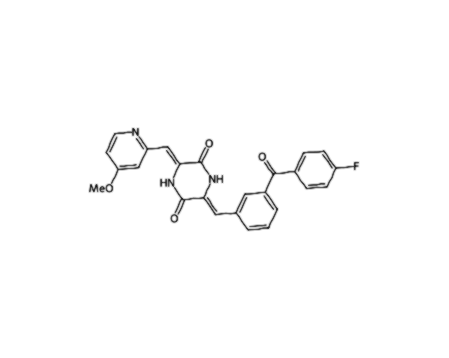 COc1ccnc(C=c2[nH]c(=O)c(=Cc3cccc(C(=O)c4ccc(F)cc4)c3)[nH]c2=O)c1